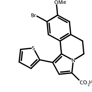 COc1cc2c(cc1Br)-c1c(-c3cccs3)cc(C(=O)O)n1CC2